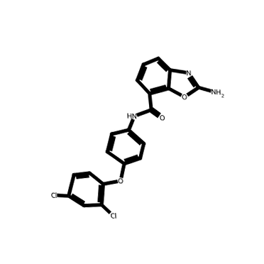 Nc1nc2cccc(C(=O)Nc3ccc(Oc4ccc(Cl)cc4Cl)cc3)c2o1